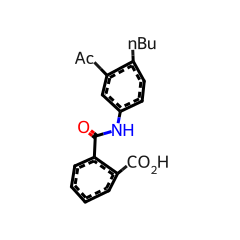 CCCCc1ccc(NC(=O)c2ccccc2C(=O)O)cc1C(C)=O